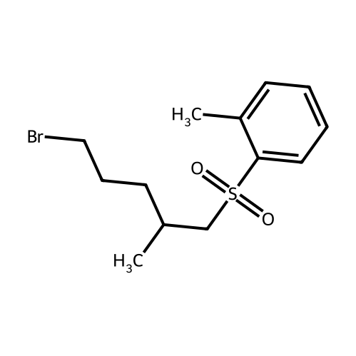 Cc1ccccc1S(=O)(=O)CC(C)CCCBr